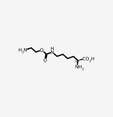 NCCOC(=O)NCCCC[C@H](N)C(=O)O